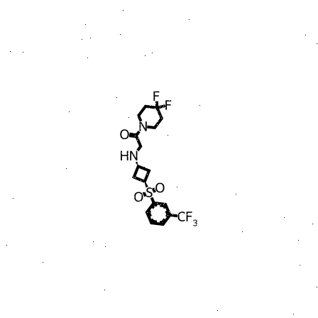 O=C(CN[C@H]1C[C@H](S(=O)(=O)c2cccc(C(F)(F)F)c2)C1)N1CCC(F)(F)CC1